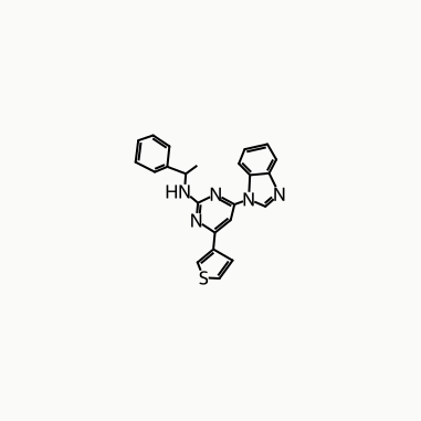 CC(Nc1nc(-c2ccsc2)cc(-n2cnc3ccccc32)n1)c1ccccc1